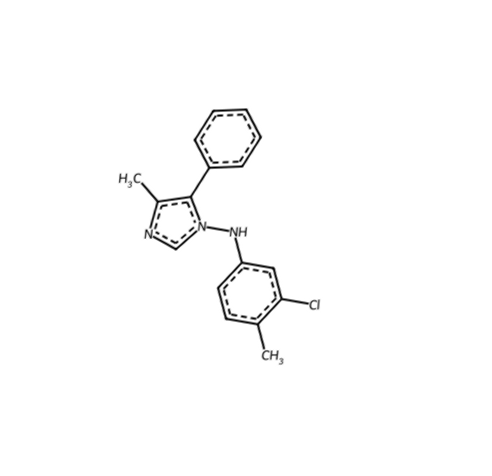 Cc1ccc(Nn2cnc(C)c2-c2ccccc2)cc1Cl